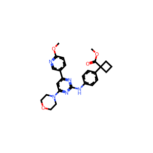 COC(=O)C1(c2ccc(Nc3nc(-c4ccc(OC)nc4)cc(N4CCOCC4)n3)cc2)CCC1